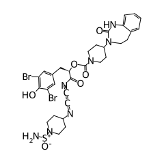 N[S+]([O-])N1CCC(N=C=C=NC(=O)[C@@H](Cc2cc(Br)c(O)c(Br)c2)OC(=O)N2CCC(N3CCc4ccccc4NC3=O)CC2)CC1